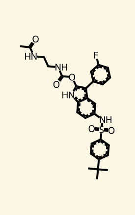 CC(=O)NCCNC(=O)Oc1[nH]c2ccc(NS(=O)(=O)c3ccc(C(C)(C)C)cc3)cc2c1-c1cccc(F)c1